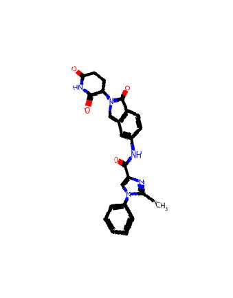 Cc1nc(C(=O)Nc2ccc3c(c2)CN(C2CCC(=O)NC2=O)C3=O)cn1-c1ccccc1